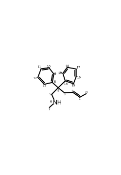 C/C=C/CC(CNC)(c1ccccc1)c1ccccc1